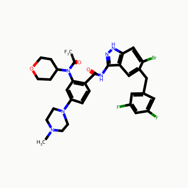 CN1CCN(c2ccc(C(=O)Nc3n[nH]c4cc(Br)c(Cc5cc(F)cc(F)c5)cc34)c(N(C(=O)C(F)(F)F)C3CCOCC3)c2)CC1